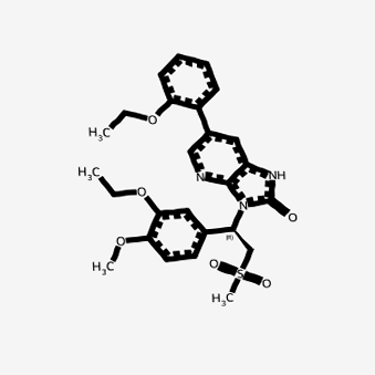 CCOc1cc([C@H](CS(C)(=O)=O)n2c(=O)[nH]c3cc(-c4ccccc4OCC)cnc32)ccc1OC